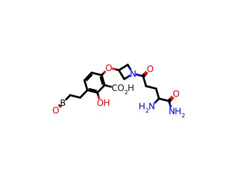 NC(=O)C(N)CCC(=O)N1CC(Oc2ccc(CCB=O)c(O)c2C(=O)O)C1